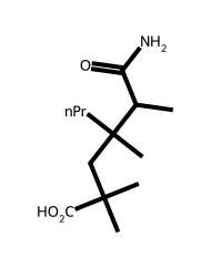 CCCC(C)(CC(C)(C)C(=O)O)C(C)C(N)=O